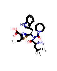 CCc1sc([C@@H](Cc2c[nH]c3ccccc23)N(C(=O)[C@@H](N)CC(C)C)C(=O)N2CCCCCC2)nc1C(=O)O